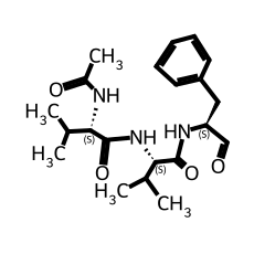 CC(=O)N[C@H](C(=O)N[C@H](C(=O)N[C@H](C=O)Cc1ccccc1)C(C)C)C(C)C